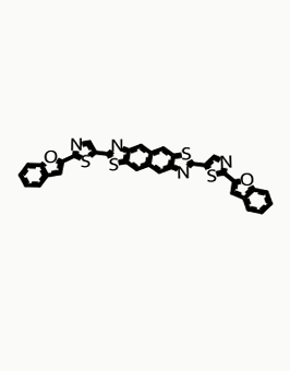 c1ccc2oc(-c3ncc(-c4nc5cc6cc7sc(-c8cnc(-c9cc%10ccccc%10o9)s8)nc7cc6cc5s4)s3)cc2c1